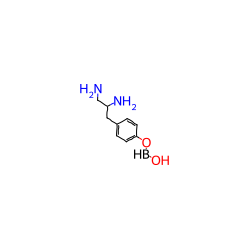 NCC(N)Cc1ccc(OBO)cc1